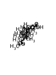 CCOC(=O)/C(C)=C/CN(C)C(O)[C@@H](NC(=O)C(NC)C(C)(C)C1=CCC(C(=O)O)C=C1)C(C)(C)C